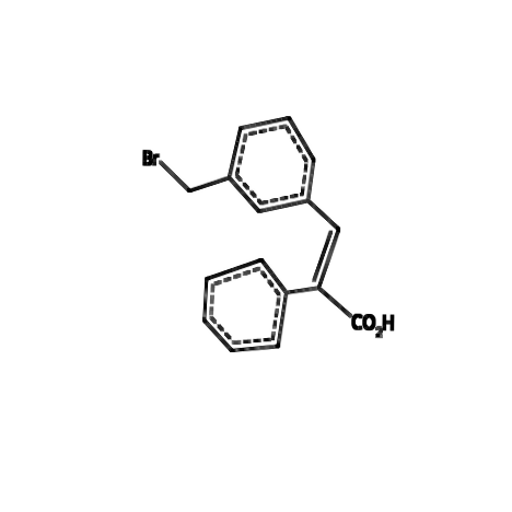 O=C(O)C(=Cc1cccc(CBr)c1)c1ccccc1